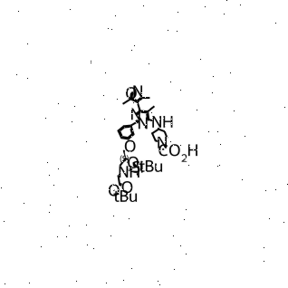 Cc1noc(C)c1-c1nc(-c2cccc(OC[C@H](CNCC(=O)OC(C)(C)C)O[Si](C)(C)C(C)(C)C)c2)nc(NC2CCN(C(=O)O)CC2)c1C